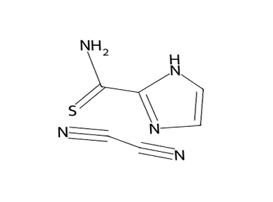 N#CC#N.NC(=S)c1ncc[nH]1